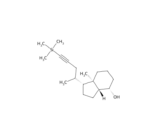 CC(CC#C[Si](C)(C)C)[C@H]1CC[C@H]2[C@@H](O)CCC[C@]12C